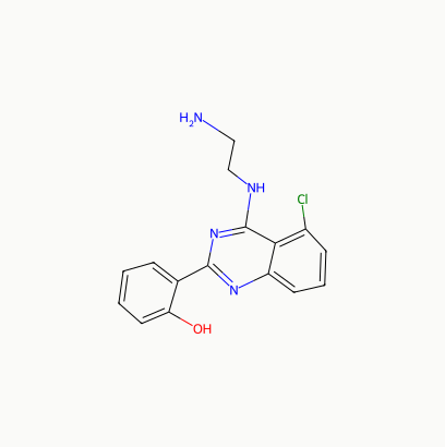 NCCNc1nc(-c2ccccc2O)nc2cccc(Cl)c12